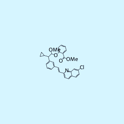 COC(=O)c1ccccc1OC(OC)C(c1cccc(C=Cc2ccc3ccc(Cl)cc3n2)c1)C1CC1